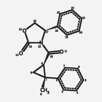 C[C@@]1(c2ccccc2)C[C@H]1C(=O)N1C(=O)OC[C@@H]1c1ccccc1